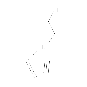 C#C.C=CC.OCCO